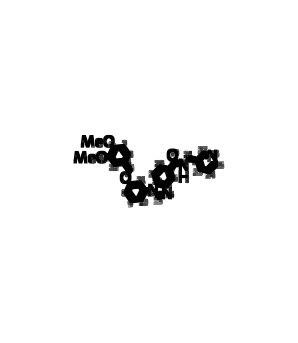 COc1ccc(COc2cccc(-n3cnc4cc(C(=O)NCc5cccnc5)ccc43)c2)cc1OC